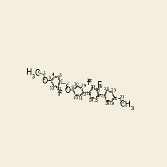 CCOc1ccc(COc2ccc(-c3ccc(-c4ccc(CC)cc4)c(F)c3F)cc2)c(F)c1